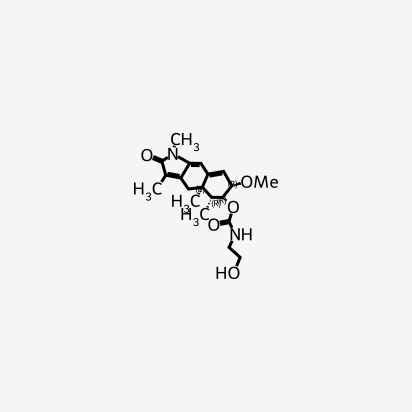 CO[C@@H]1C=C2C=C3C(=C(C)C(=O)N3C)C[C@]2(C)[C@@H](C)[C@H]1OC(=O)NCCO